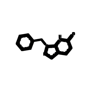 O=c1ccc2cnn(Cc3ccccc3)c2[nH]1